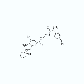 CCC1(NCc2cc(C(=O)OCCOC(=O)C(C)c3ccc(CC(C)C)cc3)cc(Br)c2N)CCCCC1